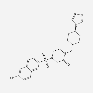 O=C1CN(S(=O)(=O)c2ccc3cc(Cl)ccc3c2)CCN1C[C@H]1CC[C@H](n2cnnc2)CC1